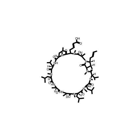 C/C=C/C[C@@H]1[C@H]2I=C3[C@H](C(C)C)N(C)C(=O)[C@H](CC(C)C)N(C)C(=O)[C@H](CC(C)C)N(C)C(=O)[C@@H](C)NC(=O)[C@H](C)NC(=O)[C@H](CC(C)C)N(C)C(=O)[C@H](C(C)C)NC(=O)[C@H](CC(C)C)N(C)C(=O)C(C/C=C/C(=O)O)N(C)C(=O)[C@H](C)N1C(=O)C2N3C